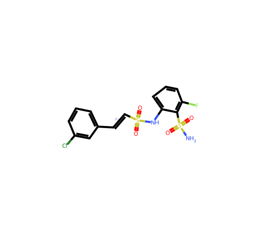 NS(=O)(=O)c1c(F)cccc1NS(=O)(=O)/C=C/c1cccc(Cl)c1